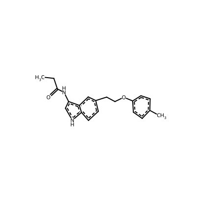 CCC(=O)Nc1c[nH]c2ccc(CCOc3ccc(C)cc3)cc12